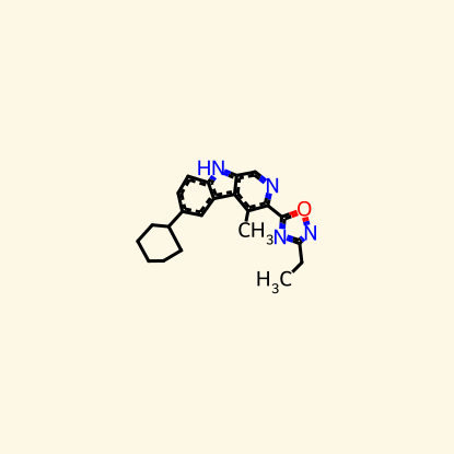 CCc1noc(-c2ncc3[nH]c4ccc(C5CCCCC5)cc4c3c2C)n1